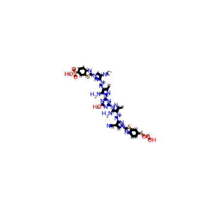 [C-]#[N+]c1cn(C2=NC3C=CC(S(=O)(=O)O)=CC3S2)nc1N=Nc1c(C)nn(-c2nc(O)nc(-n3nc(C)c(N=Nc4nn(-c5nc6ccc(SOOO)cc6s5)cc4C#N)c3N)n2)c1N